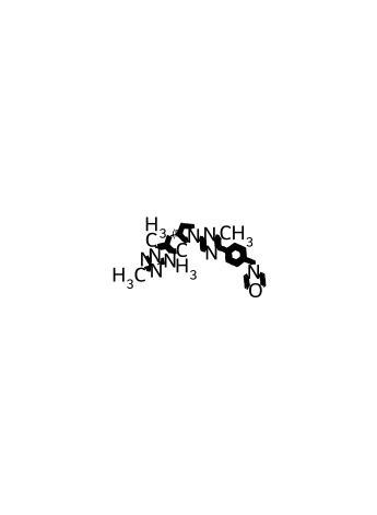 Cc1nc2nc(C)c(C[C@@H]3CCN(c4cnc(-c5ccc(CN6CCOCC6)cc5)c(C)n4)C3)c(C)n2n1